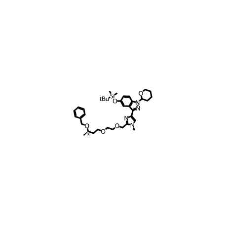 C[C@H](CCOCCOCc1nc(-c2nn(C3CCCCO3)c3ccc(O[Si](C)(C)C(C)(C)C)cc23)cn1C)OCc1ccccc1